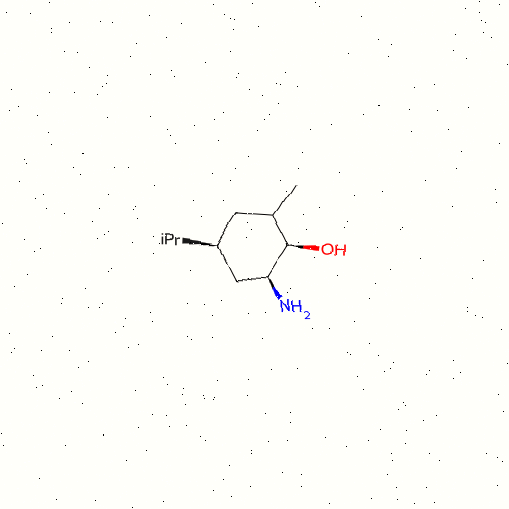 CC(C)[C@H]1CC(C)[C@@H](O)[C@@H](N)C1